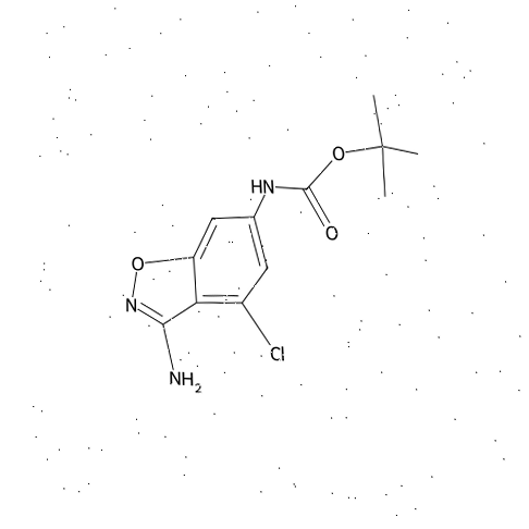 CC(C)(C)OC(=O)Nc1cc(Cl)c2c(N)noc2c1